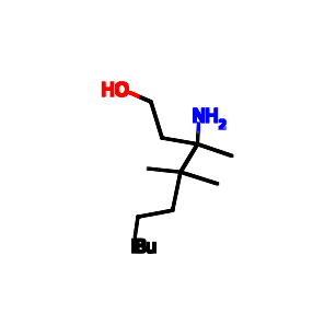 CCC(C)CCC(C)(C)C(C)(N)CCO